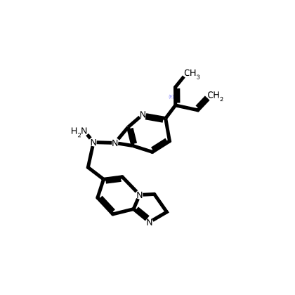 C=C/C(=C\C)c1ccc2c(n1)N2N(N)CC1=CN2CCN=C2C=C1